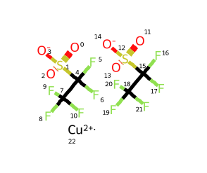 O=S(=O)([O-])C(F)(F)C(F)(F)F.O=S(=O)([O-])C(F)(F)C(F)(F)F.[Cu+2]